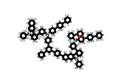 c1ccc(-c2ccc(-c3ccc(N(c4ccc(-c5cc(-c6ccccc6)cc(-c6ccc(-c7ccc8cc9c(cc8c7)c7c(-c8cccc(N(c%10ccc(-c%11ccc(-c%12ccccc%12)cc%11)cc%10)c%10ccccc%10-c%10ccccc%10)c8)cccc7n9-c7ccccc7)cc6)c5)cc4)c4cccc(-c5cccc6c5c5cc7ccccc7cc5n6-c5ccccc5)c4)cc3)cc2)cc1